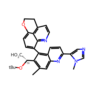 Cc1cc2nc(-c3cncn3C)ccc2c(-c2ccc3c4c(ccnc24)CCO3)c1[C@H](OC(C)(C)C)C(=O)O